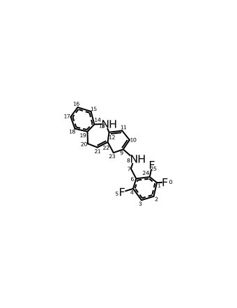 Fc1ccc(F)c(CNC2=CC=C3Nc4ccccc4CC=C3C2)c1F